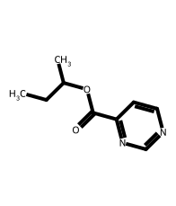 CCC(C)OC(=O)c1ccncn1